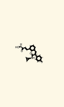 O=C(/C=C/c1cccc(C=C(C(=O)NC2CC2)c2ccc(F)cc2)c1)NO